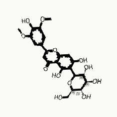 COc1cc(-c2cc(=O)c3c(O)c(C4O[C@H](CO)[C@@H](O)[C@H](O)[C@H]4O)c(O)cc3o2)cc(OC)c1O